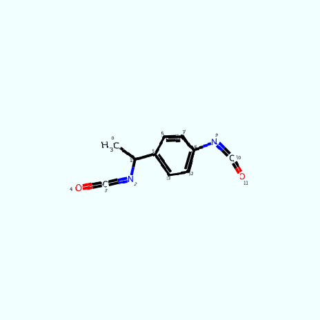 CC(N=C=O)c1[c]cc(N=C=O)cc1